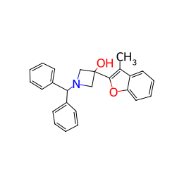 Cc1c(C2(O)CN(C(c3ccccc3)c3ccccc3)C2)oc2ccccc12